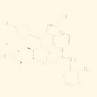 Cc1c([C@H](OC(C)(C)C)C(=O)O)c(-c2ccc(Cl)cc2)c2cc(C)n3c2c1N(C(=O)Nc1ccccc1N)CC3